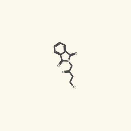 CC(=O)CCC(=O)CN1C(=O)c2ccccc2C1=O